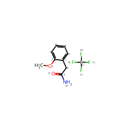 COc1ccccc1CC(N)=O.F[B-](F)(F)F